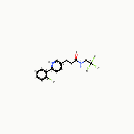 O=C(CCc1ccc(-c2ccccc2F)nc1)NCC(F)(F)F